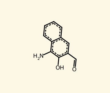 Nc1c(O)c(C=O)cc2ccccc12